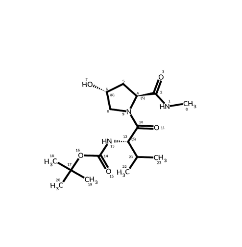 CNC(=O)[C@@H]1C[C@@H](O)CN1C(=O)[C@@H](NC(=O)OC(C)(C)C)C(C)C